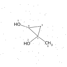 CC1(O)CC1O